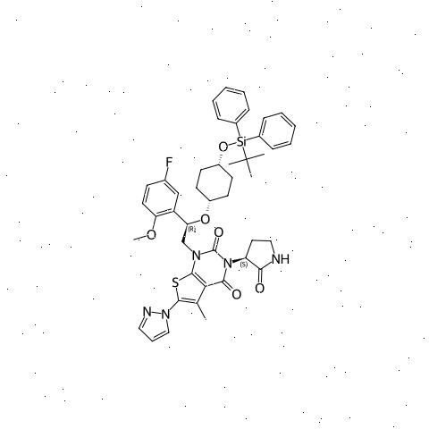 COc1ccc(F)cc1[C@H](Cn1c(=O)n([C@H]2CCNC2=O)c(=O)c2c(C)c(-n3cccn3)sc21)O[C@H]1CC[C@@H](O[Si](c2ccccc2)(c2ccccc2)C(C)(C)C)CC1